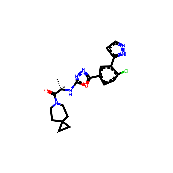 C[C@H](Nc1nnc(-c2ccc(Cl)c(-c3ccn[nH]3)c2)o1)C(=O)N1CCC2(CC1)CC2